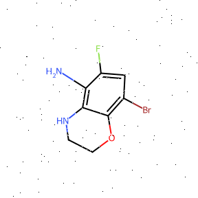 Nc1c(F)cc(Br)c2c1NCCO2